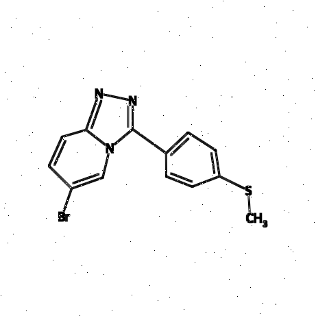 CSc1ccc(-c2nnc3ccc(Br)cn23)cc1